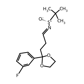 CC(C)(C)[S@@+]([O-])/N=C/CCC1(c2cccc(F)c2)OCCO1